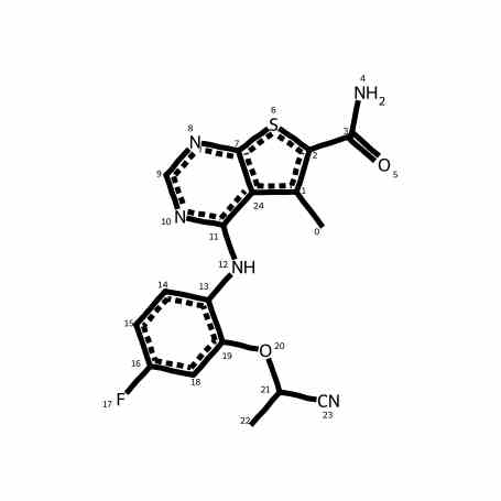 Cc1c(C(N)=O)sc2ncnc(Nc3ccc(F)cc3OC(C)C#N)c12